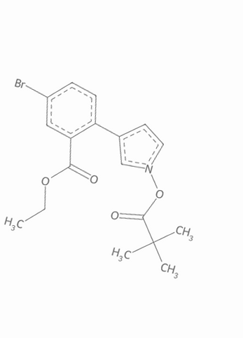 CCOC(=O)c1cc(Br)ccc1-c1ccn(OC(=O)C(C)(C)C)c1